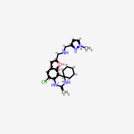 C=C1Nc2c(Cl)cc3cc(CNCc4ccn(C)n4)oc3c2C2(CCCCC2)N1